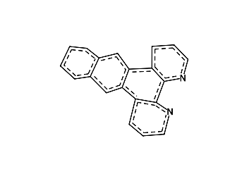 c1ccc2cc3c(cc2c1)c1cccnc1c1ncccc31